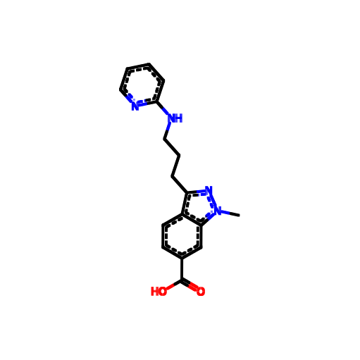 Cn1nc(CCCNc2ccccn2)c2ccc(C(=O)O)cc21